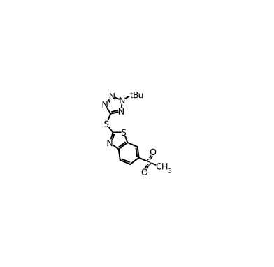 CC(C)(C)n1nnc(Sc2nc3ccc(S(C)(=O)=O)cc3s2)n1